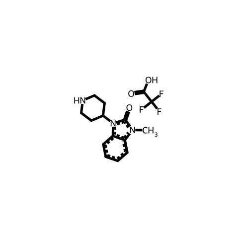 Cn1c(=O)n(C2CCNCC2)c2ccccc21.O=C(O)C(F)(F)F